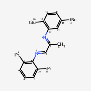 CC(C=Nc1c(C(C)C)cccc1C(C)C)=Nc1cc(C(C)(C)C)ccc1C(C)(C)C